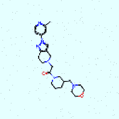 Cc1cc(-n2cc3c(n2)CCN(CC(=O)N2CCCC(CN4CCOCC4)C2)C3)ccn1